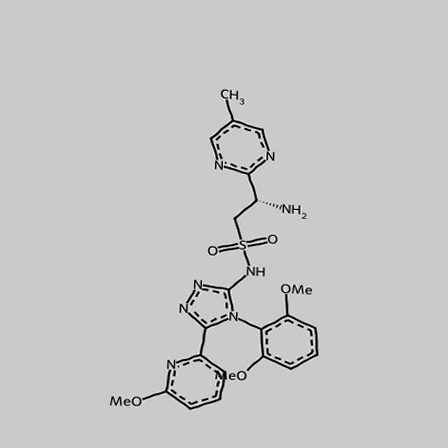 COc1cccc(-c2nnc(NS(=O)(=O)C[C@@H](N)c3ncc(C)cn3)n2-c2c(OC)cccc2OC)n1